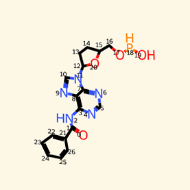 O=C(Nc1ncnc2c1ncn2C1CCC(COPO)O1)c1ccccc1